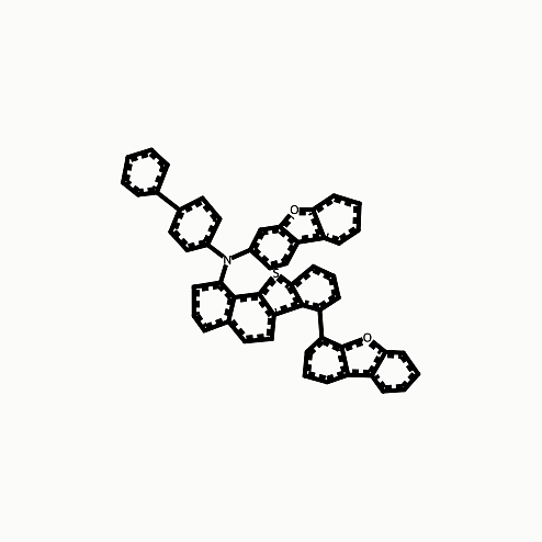 c1ccc(-c2ccc(N(c3ccc4c(c3)oc3ccccc34)c3cccc4ccc5c(sc6cccc(-c7cccc8c7oc7ccccc78)c65)c34)cc2)cc1